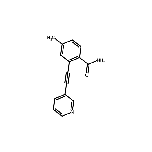 Cc1ccc(C(N)=O)c(C#Cc2cccnc2)c1